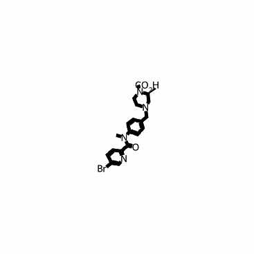 C[C@H]1CN(Cc2ccc(N(C)C(=O)c3ccc(Br)cn3)cc2)CCN1C(=O)O